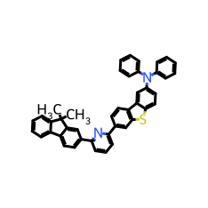 CC1(C)c2ccccc2-c2ccc(-c3cccc(-c4ccc5c(c4)sc4ccc(N(c6ccccc6)c6ccccc6)cc45)n3)cc21